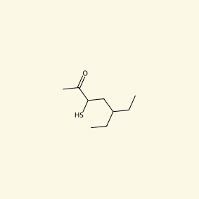 CCC(CC)CC(S)C(C)=O